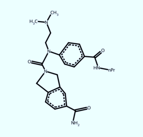 CCCNC(=O)c1ccc(N(CCN(C)C)C(=O)N2Cc3ccc(C(N)=O)cc3C2)cc1